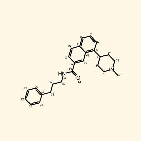 CN1CCC(c2cccc3ccc(C(=O)NCCCc4ccccc4)cc23)CC1